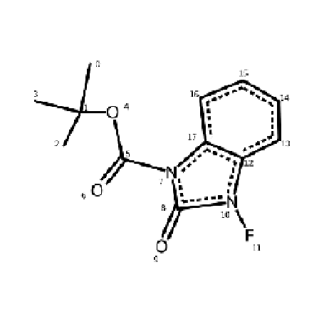 CC(C)(C)OC(=O)n1c(=O)n(F)c2ccccc21